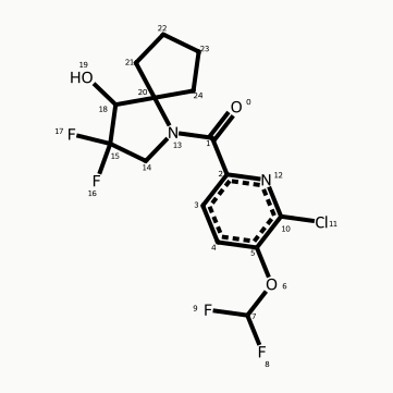 O=C(c1ccc(OC(F)F)c(Cl)n1)N1CC(F)(F)C(O)C12CCCC2